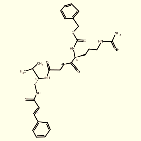 CC(C)[C@@H](CNC(=O)/C=C/c1ccccc1)NC(=O)CNC(=O)[C@H](CCCNC(=N)N)NC(=O)OCc1ccccc1